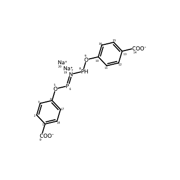 O=C([O-])c1ccc(OP=NPOc2ccc(C(=O)[O-])cc2)cc1.[Na+].[Na+]